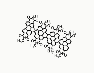 Cn1c(=O)c2ccc3c4ccc5c(=O)n(C)c(=O)c6cc7c8c9cc%10c(=O)n(C)c(=O)c%11cc%12c%13c%14cc%15c(=O)n(C)c(=O)c%16cc%17c%18c%19cc%20c(=O)n(C)c(=O)c%21ccc%22c%23ccc%24c(=O)n(C)c(=O)c%25cc(c%18c%18cc%26c(=O)n(C)c(=O)c%27cc(c%13c%13cc%28c(=O)n(C)c(=O)c%29cc(c8c8cc(c1=O)c2c3c8c7c4c56)c1c9c(c%10%11)c%12c%13c1c%29%28)c1c%14c(c%16%15)c%17c%18c1c%26%27)c(c%23c%24%25)c%19c%22c%21%20